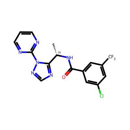 C[C@H](NC(=O)c1cc(Cl)cc(C(F)(F)F)c1)c1ncnn1-c1ncccn1